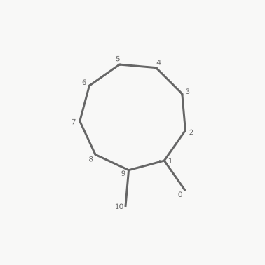 C[C]1CCCCCCCC1C